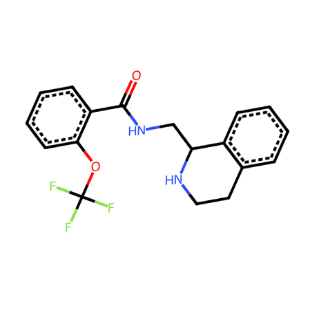 O=C(NCC1NCCc2ccccc21)c1ccccc1OC(F)(F)F